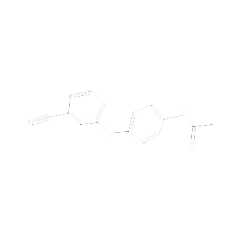 CC(=O)Oc1ccc(Sc2cccc(C#N)c2)cc1